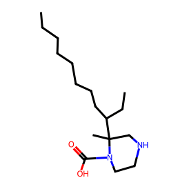 CCCCCCCCC(CC)C1(C)CNCCN1C(=O)O